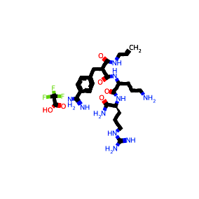 C=CCNC(=O)C(Cc1ccc(C(=N)N)cc1)C(=O)NC(CCCN)C(=O)N[C@@H](CCCNC(=N)N)C(N)=O.O=C(O)C(F)(F)F